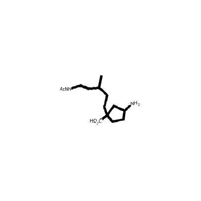 CC(=O)NCCC(C)CCC1(C(=O)O)CCC(N)C1